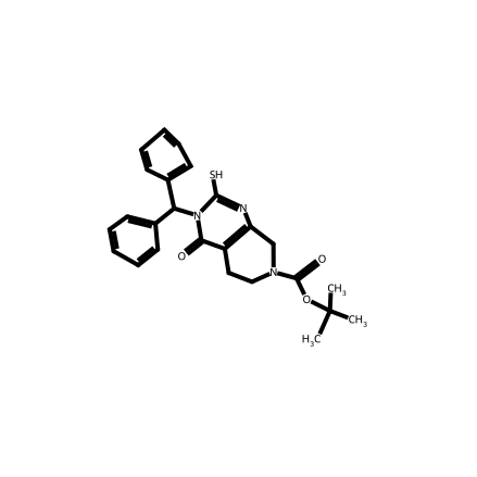 CC(C)(C)OC(=O)N1CCc2c(nc(S)n(C(c3ccccc3)c3ccccc3)c2=O)C1